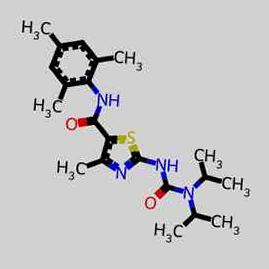 Cc1cc(C)c(NC(=O)c2sc(NC(=O)N(C(C)C)C(C)C)nc2C)c(C)c1